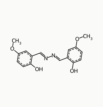 COc1ccc(O)c(C=NN=Cc2cc(OC)ccc2O)c1